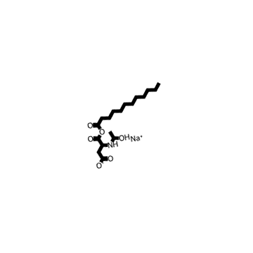 CCCCCCCCCCCC(=O)OC(=O)C(CC(=O)[O-])NC(C)O.[Na+]